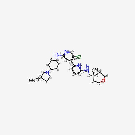 CO[C@@H]1CCN([C@H]2CC[C@@H](Nc3cc(-c4cccc(NCC5(C#N)CCOCC5)n4)c(Cl)cn3)CC2)C1